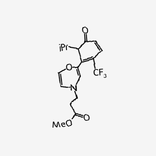 COC(=O)CCN1C=COC(C2=C(C(F)(F)F)C=CC(=O)C2C(C)C)=C1